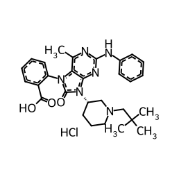 Cc1nc(Nc2ccccc2)nc2c1n(-c1ccccc1C(=O)O)c(=O)n2[C@H]1CCCN(CC(C)(C)C)C1.Cl